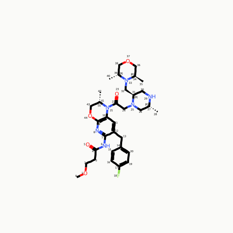 COCCC(=O)Nc1nc2c(cc1Cc1ccc(F)cc1)N(C(=O)CN1C[C@@H](C)NC[C@@H]1CN1[C@H](C)COC[C@H]1C)[C@@H](C)CO2